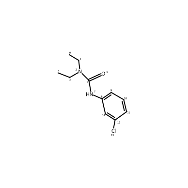 CCN(CC)C(=O)Nc1cccc(Cl)c1